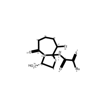 CCC(C)C(=S)C(=O)NC12SC[C@H](C(=O)O)N1C(=O)CCCC2CC